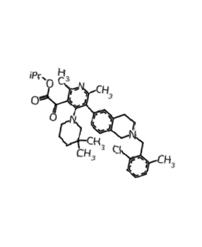 Cc1cccc(Cl)c1CN1CCc2cc(-c3c(C)nc(C)c(C(=O)C(=O)OC(C)C)c3N3CCCC(C)(C)C3)ccc2C1